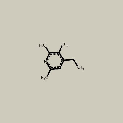 CCc1cc(C)nc(C)c1C